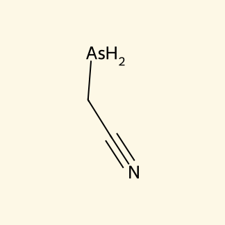 N#CC[AsH2]